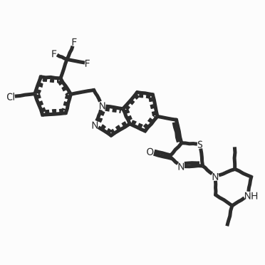 CC1CN(C2=NC(=O)C(=Cc3ccc4c(cnn4Cc4ccc(Cl)cc4C(F)(F)F)c3)S2)C(C)CN1